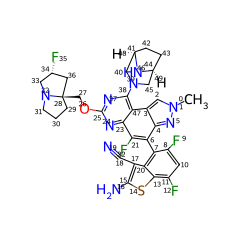 Cn1cc2c(n1)c(-c1c(F)cc(F)c3sc(N)c(C#N)c13)c(F)c1nc(OC[C@@]34CCCN3C[C@H](F)C4)nc(N3C[C@H]4CC[C@@H](C3)N4)c12